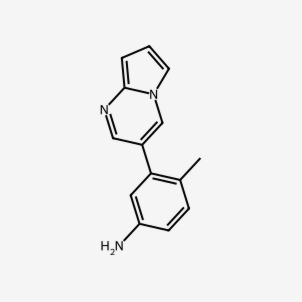 Cc1ccc(N)cc1-c1cnc2cccn2c1